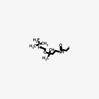 CC(C)(CCNC(=O)CI)OCC[PH](C)(C)P